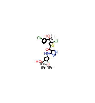 CC(C)[Si](O[C@H]1C[C@H](Nc2ncncc2C(=O)c2cc([C@@](C)(O)c3cccc(Cl)c3)c(Cl)s2)C[C@@H]1CO)(C(C)C)C(C)C